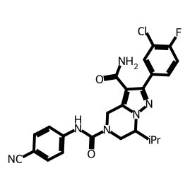 CC(C)C1CN(C(=O)Nc2ccc(C#N)cc2)Cc2c(C(N)=O)c(-c3ccc(F)c(Cl)c3)nn21